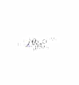 CN[C@H](C(=O)N[C@H](C(=O)N(C)[C@H](/C=C(\C)C(=O)O)C(C)C)C(C)(C)C)C(C)(C)c1ccc(OC)cc1